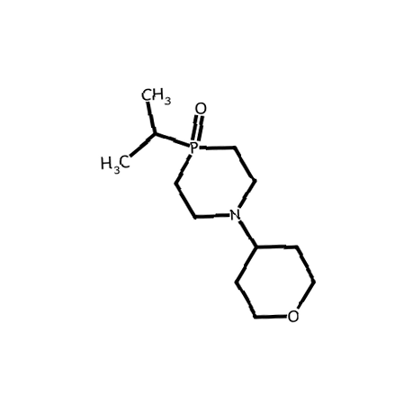 CC(C)P1(=O)CCN(C2CCOCC2)CC1